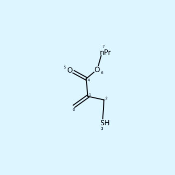 C=C(CS)C(=O)OCCC